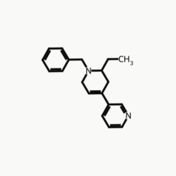 CCC1CC(c2cccnc2)=CCN1Cc1ccccc1